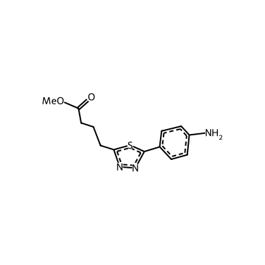 COC(=O)CCCc1nnc(-c2ccc(N)cc2)s1